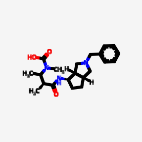 CC([C@H](C)C(=O)N[C@@H]1CC[C@H]2CN(Cc3ccccc3)C[C@H]21)N(C)C(=O)O